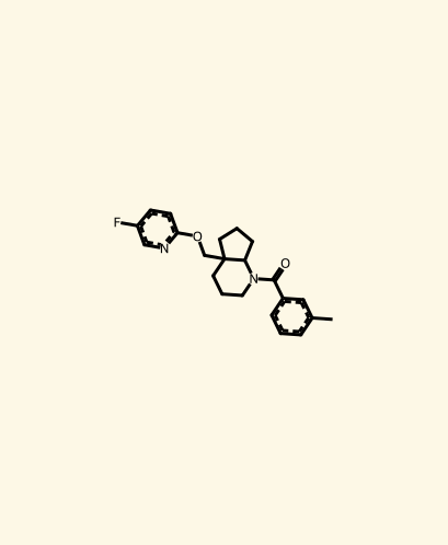 Cc1cccc(C(=O)N2CCCC3(COc4ccc(F)cn4)CCCC23)c1